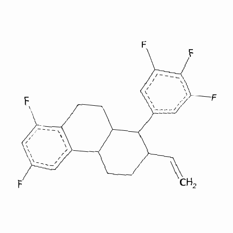 C=CC1CCC2c3cc(F)cc(F)c3CCC2C1c1cc(F)c(F)c(F)c1